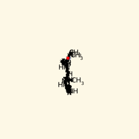 CCNc1nc(Nc2ccc3[nH]ncc3c2)ncc1C#CCCCNC(=O)[C@@H]1CCCN1C(=O)/C=C/CN(C)C